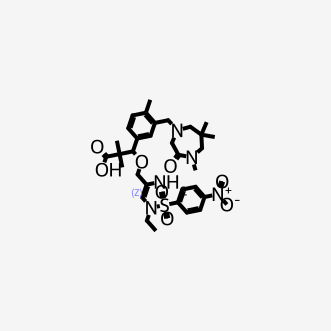 CCN(/C=C(\N)COC(c1ccc(C)c(CN2CC(=O)N(C)CC(C)(C)C2)c1)C(C)(C)C(=O)O)S(=O)(=O)c1ccc([N+](=O)[O-])cc1